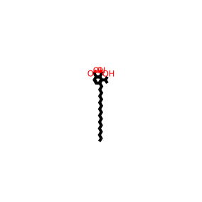 CCCCCCCCCCCCCCCCCCc1ccc(C(=O)O)c(C(=O)O)c1C(C)C